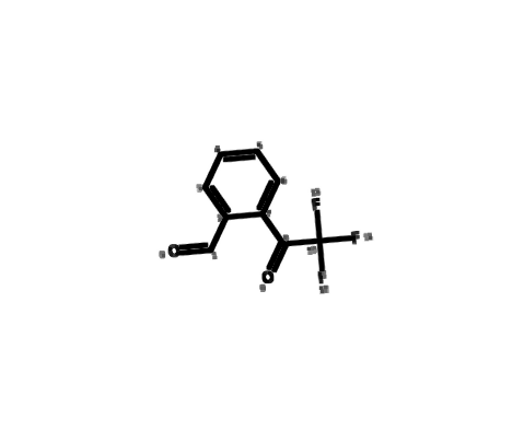 O=Cc1ccccc1C(=O)C(F)(F)F